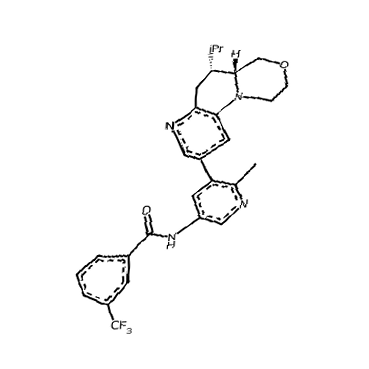 Cc1ncc(NC(=O)c2cccc(C(F)(F)F)c2)cc1-c1cnc2c(c1)N1CCOC[C@H]1[C@@H](C(C)C)C2